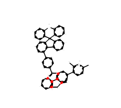 Cc1ccc(-c2ccc(C3=C\CC(C)/C(c4ccccc4)=N/C(c4ccc(-c5cccc6c5-c5ccccc5C65c6ccccc6Oc6ccccc65)cc4)=N\3)cc2)c(C)n1